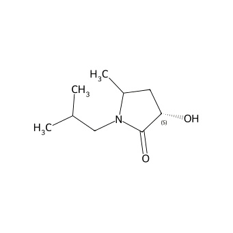 CC(C)CN1C(=O)[C@@H](O)CC1C